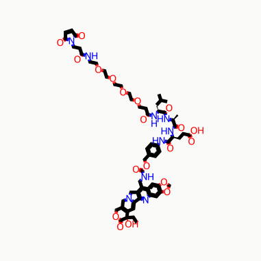 CC[C@@]1(O)C(=O)OCC2=C1C=C1c3nc4cc5c(cc4c(CNC(=O)OCc4ccc(NC(=O)[C@H](CCC(=O)O)NC(=O)[C@H](C)NC(=O)[C@@H](CC(C)C)NC(=O)CCOCCOCCOCCOCCNC(=O)CCN6C(=O)C=CC6=O)cc4)c3CN1C2)OCO5